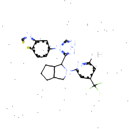 Cc1cc(C(F)(F)F)cc(N2CC3CCCC3C2c2nncn2-c2ccc3scnc3c2)n1